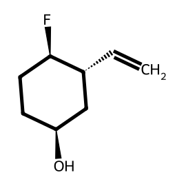 C=C[C@@H]1C[C@@H](O)CC[C@H]1F